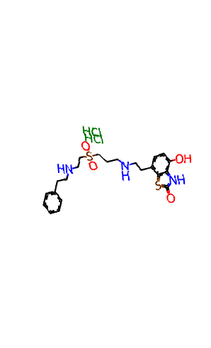 Cl.Cl.O=c1[nH]c2c(O)ccc(CCNCCCS(=O)(=O)CCNCCc3ccccc3)c2s1